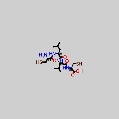 CC(C)C[C@H](NC(=O)[C@@H](N)CS)C(=O)N[C@H](C(=O)N[C@@H](CS)C(=O)O)C(C)C